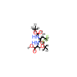 COC(=O)[C@H](COC(C)(C)C)NC(=O)[C@@H](NC(=O)OC(C)(C)C)[C@H](C)C(F)(F)F